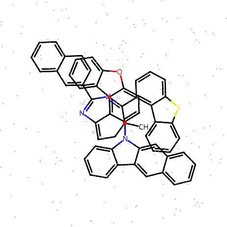 CC1C/C=C(c2c(-n3c4ccccc4c4cc5ccccc5cc43)ccc3oc4ccccc4c23)/N=C(c2ccc3ccccc3c2)\N=C/1c1cccc2sc3ccccc3c12